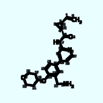 C=C[C@@H]1C[C@H]1C(=O)Nc1cc(-c2ccc(OC3CCOCC3)c(CN)c2)ccn1